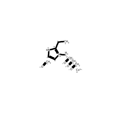 C=O.C=O.C=O.C=O.CCc1[nH]cc[n+]1C.[Co+2]